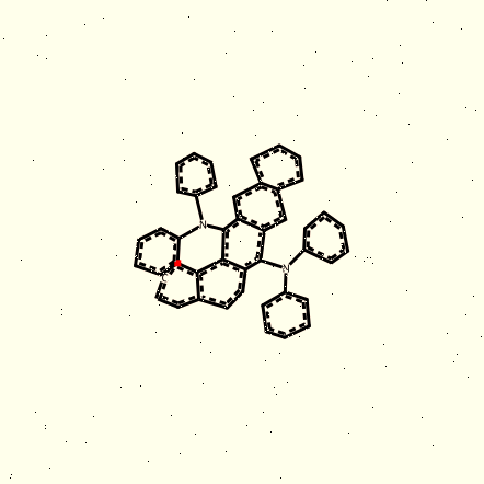 c1ccc(N(c2ccccc2)c2c3cc4ccccc4cc3c(N(c3ccccc3)c3ccccc3)c3c2ccc2ccccc23)cc1